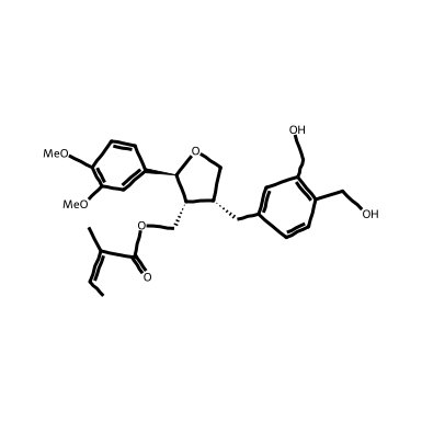 C/C=C(/C)C(=O)OC[C@H]1[C@@H](Cc2ccc(CO)c(CO)c2)CO[C@@H]1c1ccc(OC)c(OC)c1